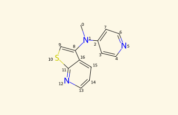 CN(c1ccncc1)c1csc2ncccc12